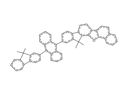 CC1(C)c2ccccc2-c2ccc(-c3c4ccccc4c(-c4ccc5c(c4)C(C)(C)c4c-5ccc5c4oc4c6ccccc6ccc54)c4ccccc34)cc21